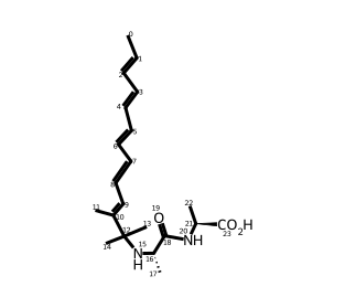 C/C=C/C=C/C=C/C=C/C=C(\C)C(C)(C)N[C@@H](C)C(=O)N[C@@H](C)C(=O)O